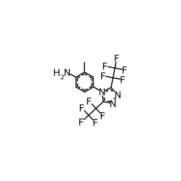 Cc1cc(-n2c(C(F)(F)C(F)(F)F)nnc2C(F)(F)C(F)(F)F)ccc1N